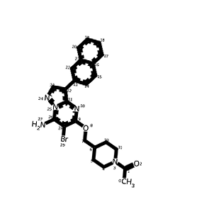 CC(=O)N1CCC(COc2nc3c(-c4ccc5ccccc5c4)cnn3c(N)c2Br)CC1